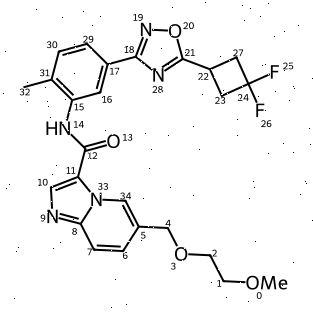 COCCOCc1ccc2ncc(C(=O)Nc3cc(-c4noc(C5CC(F)(F)C5)n4)ccc3C)n2c1